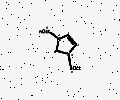 CCCCCCCCN1C=CN(CCCCCCCC)C1